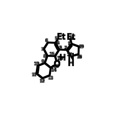 CCC1=C(C2=C(CC)CCC3C4C=CCCC4O[C@H]23)NCC1